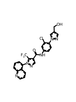 O=C(Nc1ccc(-n2cc(CO)cn2)c(Cl)c1)c1cnn(-c2cccc3ncccc23)c1C(F)(F)F